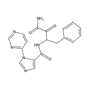 NC(=O)C(=O)C(Cc1ccccc1)NC(=O)c1cncn1-c1ccncn1